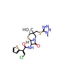 Cn1nnnc1SCC1(C(=O)O)CS[C@@H]2C(NC(=O)C(=CCl)c3cccs3)C(=O)N2C1